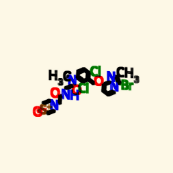 Cc1nc2c(OCc3c(Cl)ccc(N(C)C(=O)CNC(=O)CN4CC[S+]([O-])CC4)c3Cl)cccn2c1Br